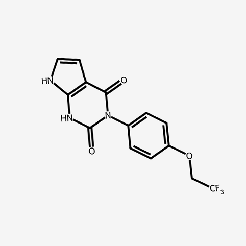 O=c1[nH]c2[nH]ccc2c(=O)n1-c1ccc(OCC(F)(F)F)cc1